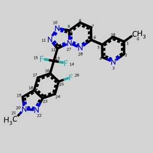 Cc1cncc(-c2ccc3nnc(C(F)(F)c4cc5cn(C)nc5cc4F)n3n2)c1